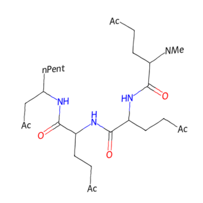 CCCCCC(CC(C)=O)NC(=O)C(CCC(C)=O)NC(=O)C(CCC(C)=O)NC(=O)C(CCC(C)=O)NC